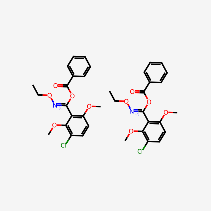 CCO/N=C(\OC(=O)c1ccccc1)c1c(OC)ccc(Cl)c1OC.CCO/N=C(\OC(=O)c1ccccc1)c1c(OC)ccc(Cl)c1OC